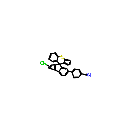 N#Cc1ccc(-c2ccc3c(c2)C2(c4ccccc4Sc4ccccc42)c2cc(Cl)ccc2-3)cc1